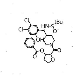 CC(C)(C)[S@+]([O-])N[C@@H](c1cc(Cl)c(Cl)cc1O)C1CCN(C(=O)C2OCCC2OC(=O)c2ccccc2)CC1